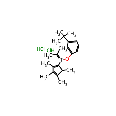 CC1=C(C)C(C)[C]([Ti]([O]c2cccc(C(C)(C)C)c2)=[C](C)C)=C1C.Cl.Cl